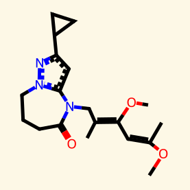 COC(/C=C(\C)OC)=C(/C)CN1C(=O)CCCn2nc(C3CC3)cc21